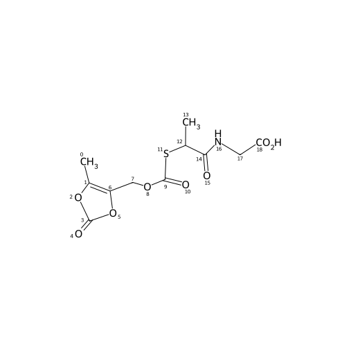 Cc1oc(=O)oc1COC(=O)SC(C)C(=O)NCC(=O)O